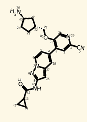 N#Cc1cc(-c2ccn3nc(NC(=O)C4CC4)cc3c2)c(OC[C@@H]2CC[C@@H](N)C2)cn1